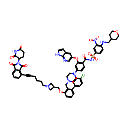 O=C1CCC(N2C(=O)c3cccc(C#CCCCCN4CC(COc5cccc(-c6ccc(Cl)cc6)c5CN5CCN(c6ccc(C(=O)NS(=O)(=O)c7ccc(NCC8CCOCC8)c([N+](=O)[O-])c7)c(Oc7cnc8[nH]ccc8c7)c6)CC5)C4)c3C2=O)C(=O)N1